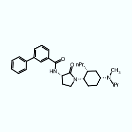 CCC[C@@H]1C[C@H](N(C)C(C)C)CC[C@@H]1N1CC[C@H](NC(=O)c2cccc(-c3ccccc3)c2)C1=O